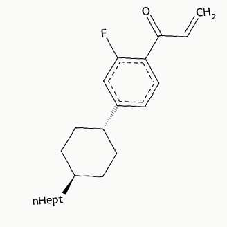 C=CC(=O)c1ccc([C@H]2CC[C@H](CCCCCCC)CC2)cc1F